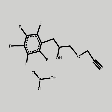 C#CCOCC(O)Cc1c(F)c(F)c(F)c(F)c1F.OP(Cl)Cl